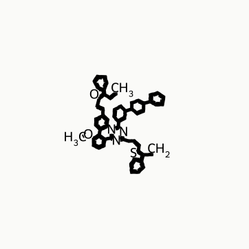 C=Cc1c(/C=C\Cc2nc(C3=CC(C4C=CC(c5ccccc5)=CC4)CC=C3)nc(-c3cccc(OC)c3-c3ccc(/C=C/c4oc5ccccc5c4/C=C\C)cc3)n2)sc2ccccc12